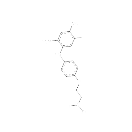 CCN(CC)CCOc1ccc(Nc2cc(Cl)c([N+](=O)[O-])cc2[N+](=O)[O-])cc1